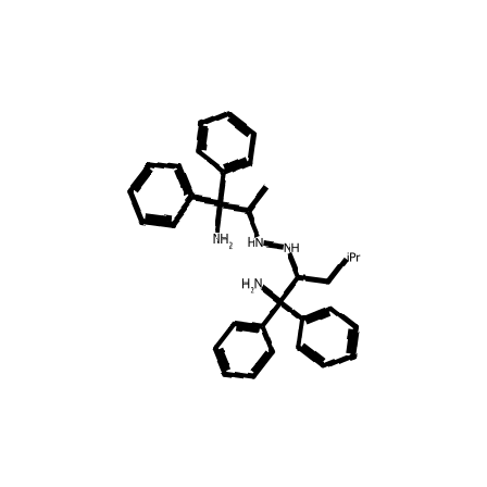 CC(C)CC(NNC(C)C(N)(c1ccccc1)c1ccccc1)C(N)(c1ccccc1)c1ccccc1